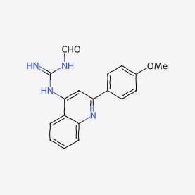 COc1ccc(-c2cc(NC(=N)NC=O)c3ccccc3n2)cc1